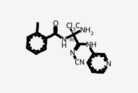 Cc1ccccc1C(=O)N[C@](N)(C(=NC#N)Nc1cccnc1)C(Cl)(Cl)Cl